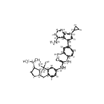 CN(C)C1CCN(Cc2ccc(NC(=O)Nc3ccc(-c4cn(C5CC5)c5ncnc(N)c45)cc3F)cc2C(F)(F)F)C1